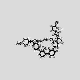 COc1nc(-c2cccc(-c3cccc(-c4cc5c(c(OC)n4)C(N4CC6(CCC(=O)N6)C4)CO5)c3Cl)c2C)cnc1CN1CCN(C(C)=O)CC1